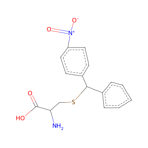 NC(CSC(c1ccccc1)c1ccc([N+](=O)[O-])cc1)C(=O)O